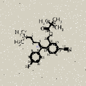 CN(C)CC/C=C(\c1ccc(F)cc1)c1ccc(C#N)cc1COC(=O)C(C)(C)C